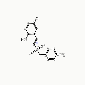 Nc1ccc(Cl)cc1/C=C/S(=O)(=O)Cc1ccc(Br)cc1